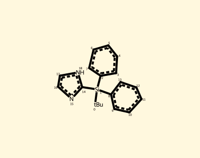 CC(C)(C)[Si](c1ccccc1)(c1ccccc1)c1ncc[nH]1